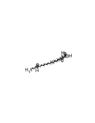 CCCCNC(=O)CCCCCCCCCCCCCCC(=O)NCC(=O)O